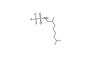 CC(C)CCCCC(C)CNS(=O)(=O)C(F)(F)F